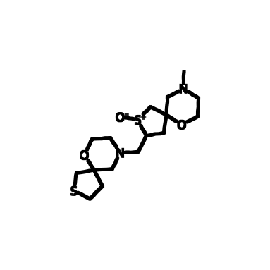 CN1CCOC2(CC(CN3CCOC4(CCSC4)C3)[S+]([O-])C2)C1